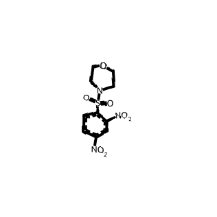 O=[N+]([O-])c1ccc(S(=O)(=O)N2CCOCC2)c([N+](=O)[O-])c1